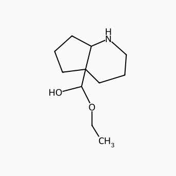 CCOC(O)C12CCCNC1CCC2